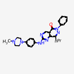 CCCc1nn(-c2ccccc2)c(=O)c2cnc(Nc3ccc(N4CCN(C)CC4)cc3)nc12